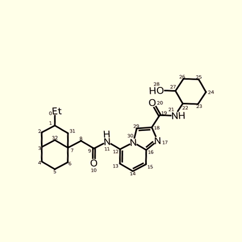 CCC1CC2CCCC(CC(=O)Nc3cccc4nc(C(=O)NC5CCCCC5O)cn34)(C1)C2